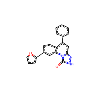 O=c1[nH]nc2cc(-c3ccccc3)c3ccc(-c4ccco4)cc3n12